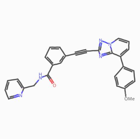 COc1ccc(-c2cccn3nc(C#Cc4cccc(C(=O)NCc5ccccn5)c4)nc23)cc1